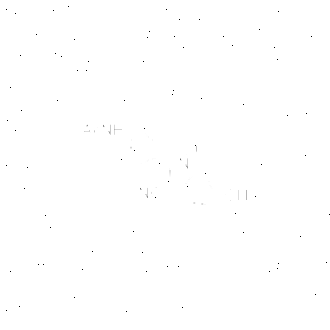 CCn1c(-c2ccc(NC(C)=O)cc2)c(C#N)c2ccc(O)cc21